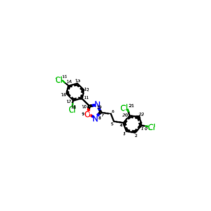 Clc1ccc(CCc2noc(-c3ccc(Cl)cc3Cl)n2)c(Cl)c1